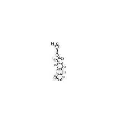 CCCCOC(=O)Nc1ccc(CC2CCNCC2)cc1